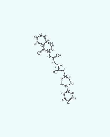 O=C(CNC(=O)CN1CCN(c2ccccc2)CC1)Cn1cnc2ccccc2c1=O